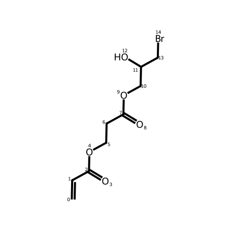 C=CC(=O)OCCC(=O)OCC(O)CBr